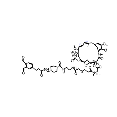 COC1=CC2CC(=C1Cl)N(C)C(=O)C[C@H](OC(=O)[C@H](C)N(C)C(=O)CCSCC(=O)NCCNC(=O)[C@H]1CC[C@H](CNC(=O)CCc3ccc(C=O)c(C=O)c3)CC1)C1(C)CC(C)(O1)C1CC(O)(NC(=O)O1)C(OC)/C=C/C=C(\C)C2